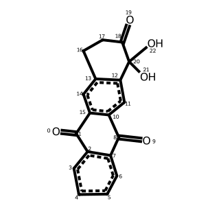 O=C1c2ccccc2C(=O)c2cc3c(cc21)CCC(=O)C3(O)O